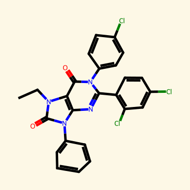 CCn1c(=O)n(-c2ccccc2)c2nc(-c3ccc(Cl)cc3Cl)n(-c3ccc(Cl)cc3)c(=O)c21